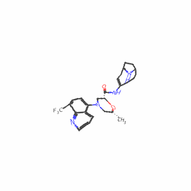 C[C@@H]1CN(c2ccc(C(F)(F)F)c3ncccc23)C[C@H](C(=O)NC2CC3CCC(C2)N3)O1